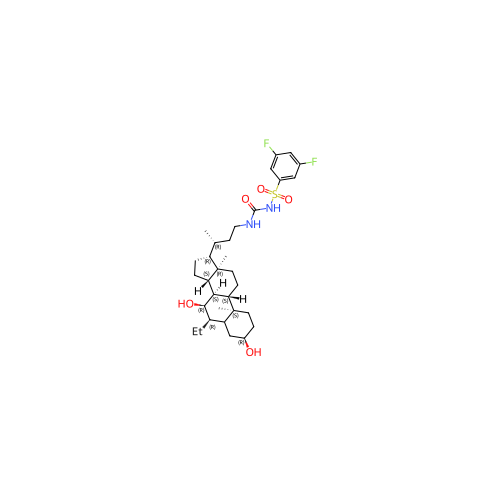 CC[C@@H]1C2C[C@H](O)CC[C@]2(C)[C@H]2CC[C@]3(C)[C@@H]([C@H](C)CCNC(=O)NS(=O)(=O)c4cc(F)cc(F)c4)CC[C@H]3[C@@H]2[C@@H]1O